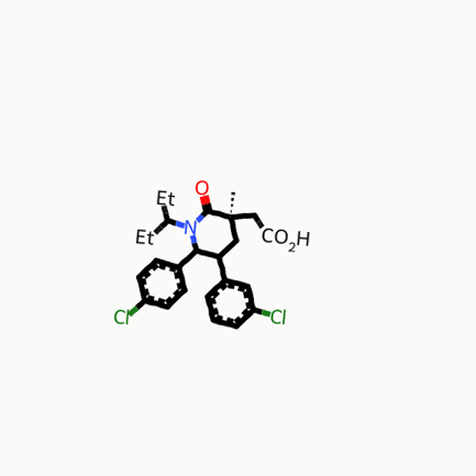 CCC(CC)N1C(=O)[C@@](C)(CC(=O)O)CC(c2cccc(Cl)c2)C1c1ccc(Cl)cc1